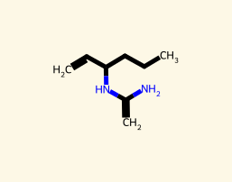 C=CC(CCC)NC(=C)N